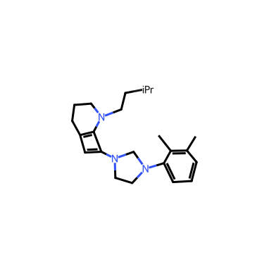 Cc1cccc(N2CCN(C3=CC4=C3N(CCC(C)C)CCC4)C2)c1C